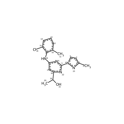 Cc1ccn(-c2nc(Nc3c(C)cccc3Cl)cc(C(C)O)n2)n1